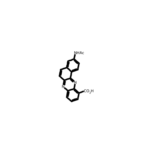 CC(=O)Nc1ccc2c(ccc3nc4cccc(C(=O)O)c4nc32)c1